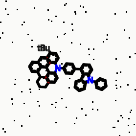 CC(C)(C)c1ccc(N(c2ccc(-c3cccc4c3c3ccccc3n4-c3ccccc3)cc2)c2ccccc2-c2cccc3cccc(C4CCCCC4)c23)cc1